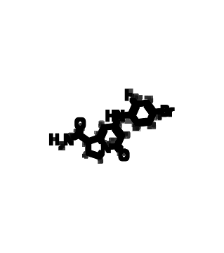 NC(=O)C1CCn2c1[c]c(Nc1ccc(Br)cc1F)cc2=O